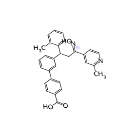 Cc1cc(/C(CC(c2cccc(-c3ccc(C(=O)O)cc3)c2)c2ccccc2C)=N/O)ccn1